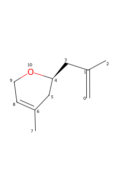 C=C(C)C[C@H]1CC(C)=CCO1